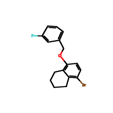 Fc1cccc(COc2ccc(Br)c3c2CCCC3)c1